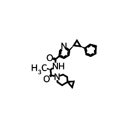 C[C@@H](NC(=O)c1ccc([C@H]2C[C@H]2c2ccccc2)nc1)C(=O)N1CCC2(CC1)CC2